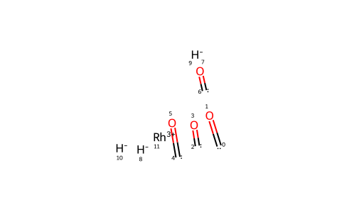 [C]=O.[C]=O.[C]=O.[C]=O.[H-].[H-].[H-].[Rh+3]